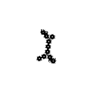 c1ccc(-c2ccc(N(c3ccc(-c4ccc(-c5ccc(N(c6ccccc6)c6ccc7c(c6)oc6cnccc67)cc5)cc4)cc3)c3ccc4c(c3)oc3cccnc34)cc2)cc1